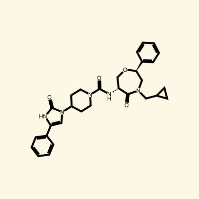 O=C(N[C@@H]1CO[C@@H](c2ccccc2)CN(CC2CC2)C1=O)N1CCC(n2cc(-c3ccccc3)[nH]c2=O)CC1